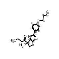 CCCC(=O)C1(C)CCc2sc(-c3ccc(OCCCCl)cc3)nc21